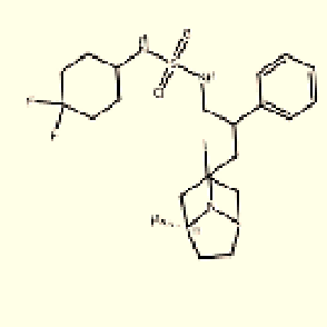 O=S(=O)(NCC(CCN1C2CC[C@H]1CC(I)C2)c1ccccc1)NC1CCC(F)(F)CC1